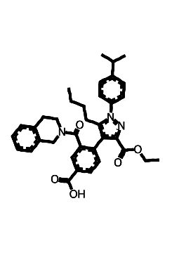 CCCCc1c(-c2ccc(C(=O)O)cc2C(=O)N2CCc3ccccc3C2)c(C(=O)OCC)nn1-c1ccc(C(C)C)cc1